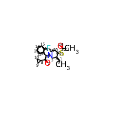 CC=C1CN(C(C(=O)C2CC2)c2ccccc2F)CCC1SC(C)=O